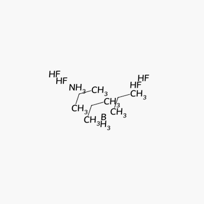 B.CCC.CCC.CCC.F.F.F.F.N